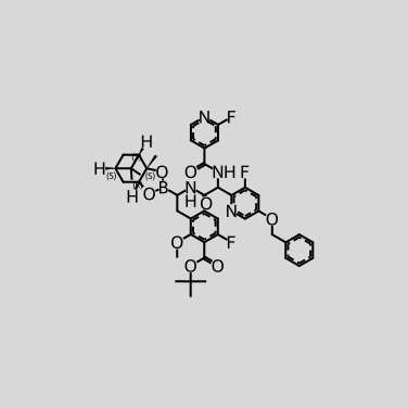 COc1c(CC(NC(=O)C(NC(=O)c2ccnc(F)c2)c2ncc(OCc3ccccc3)cc2F)B2O[C@@H]3C[C@@H]4C[C@@H](C4(C)C)[C@]3(C)O2)ccc(F)c1C(=O)OC(C)(C)C